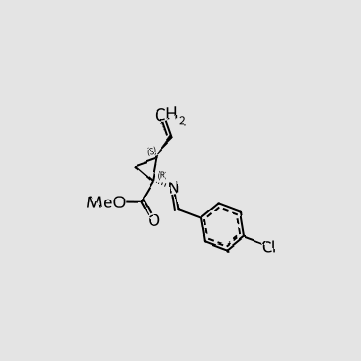 C=C[C@@H]1C[C@]1(N=Cc1ccc(Cl)cc1)C(=O)OC